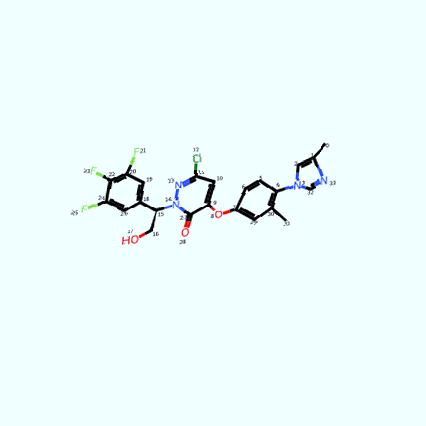 Cc1cn(-c2ccc(Oc3cc(Cl)nn([C@@H](CO)c4cc(F)c(F)c(F)c4)c3=O)cc2C)cn1